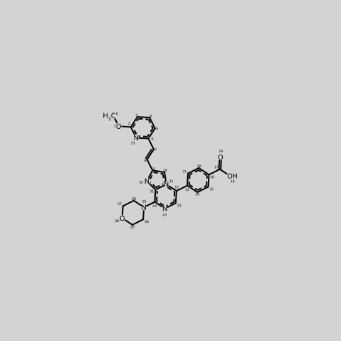 COc1cccc(C=Cc2cn3c(-c4ccc(C(=O)O)cc4)cnc(N4CCOCC4)c3n2)n1